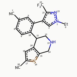 CCn1cc(-c2cc(C#N)ccc2C2CNCc3sc(C#N)cc32)c(C(F)(F)F)n1